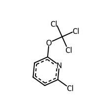 Clc1cccc(OC(Cl)(Cl)Cl)n1